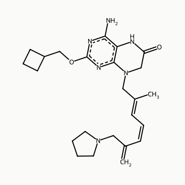 C=C(/C=C\C=C(/C)CN1CC(=O)Nc2c(N)nc(OCC3CCC3)nc21)CN1CCCC1